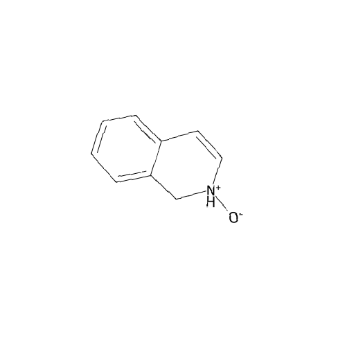 [O-][NH+]1C=Cc2ccccc2C1